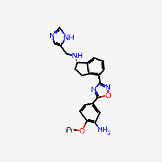 CC(C)Oc1ccc(-c2nc(-c3cccc4c3CC[C@@H]4NCc3cnc[nH]3)no2)cc1N